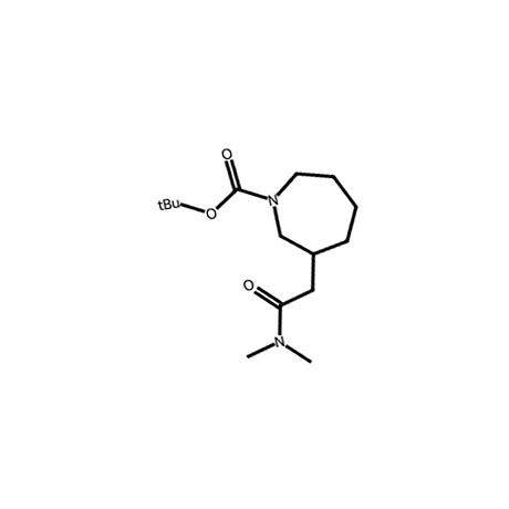 CN(C)C(=O)CC1CCCCN(C(=O)OC(C)(C)C)C1